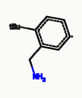 CC(C)(C)c1cc[c]cc1CN